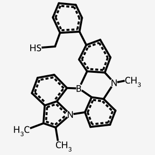 Cc1c(C)n2c3c(cccc13)B1c3cc(-c4ccccc4CS)ccc3N(C)c3cccc-2c31